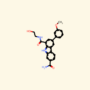 COc1cccc(-c2cc(C(=O)NCCO)c3[nH]c4cc(C(N)=O)ccc4c3c2)c1